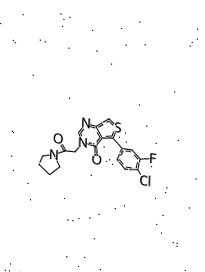 O=C(Cn1cnc2csc(-c3ccc(Cl)c(F)c3)c2c1=O)N1CCCC1